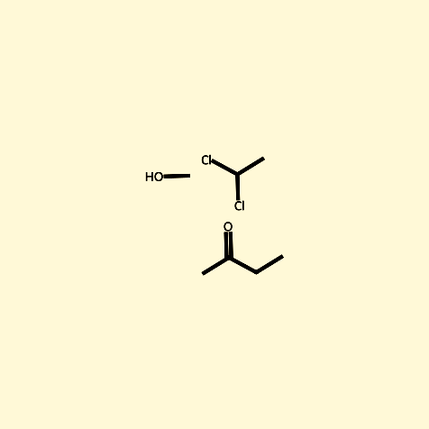 CC(Cl)Cl.CCC(C)=O.CO